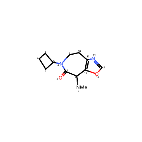 CNC1C(=O)N(C2CCC2)CCc2ncoc21